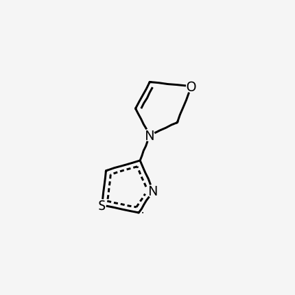 [c]1nc(N2C=COC2)cs1